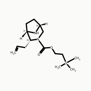 C=CC[C@@H]1[C@@H]2CC[C@H](CN1C(=O)OCCS(C)(C)C)N2